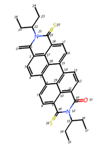 C=c1c2ccc3c4ccc5c6c(ccc(c7ccc(c(=S)n1C(CC)CC)c2c37)c64)C(=O)N(C(CC)CC)C5=S